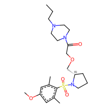 CCCN1CCN(C(=O)COC[C@@H]2CCCN2S(=O)(=O)c2c(C)cc(OC)cc2C)CC1